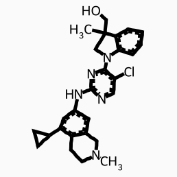 CN1CCc2c(cc(Nc3ncc(Cl)c(N4CC(C)(CO)c5ccccc54)n3)cc2C2CC2)C1